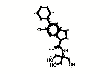 O=C(NC(CO)(CO)CO)C1CCc2cc(C3CCCCC3)c(Cl)cc21